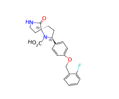 O=C(O)N1[C@H](c2ccc(OCc3ccccc3F)cc2)CC[C@@]12CCNC2=O